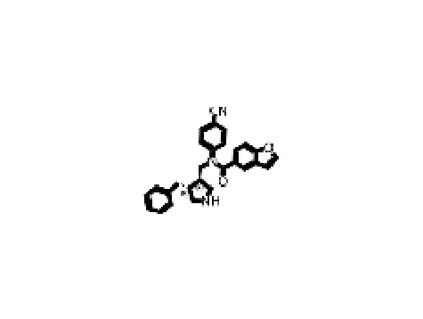 N#Cc1ccc(N(C[C@H]2CNC[C@@H]2Cc2ccccc2)C(=O)c2ccc3occc3c2)cc1